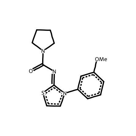 COc1cccc(-n2ccs/c2=N\C(=O)N2CCCC2)c1